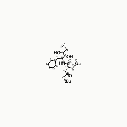 CC(C)C[C@H](O)[C@H](O)[C@H](CC1CCCCC1)NC(=O)[C@@H](CC(=O)OC(C)(C)C)CC1CC1